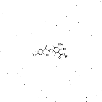 CC1=C(C(C)(C)C)C(O)=C(C(=O)OC(C)C)C(C)C1(C)C=CC(=O)c1ccc(Cl)cc1O